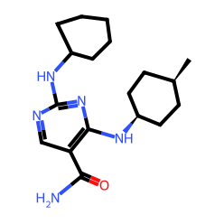 C[C@H]1CC[C@@H](Nc2nc(NC3CCCCC3)ncc2C(N)=O)CC1